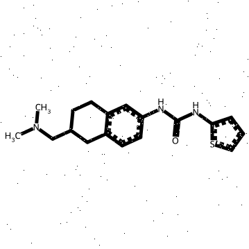 CN(C)CC1CCc2cc(NC(=O)Nc3cccs3)ccc2C1